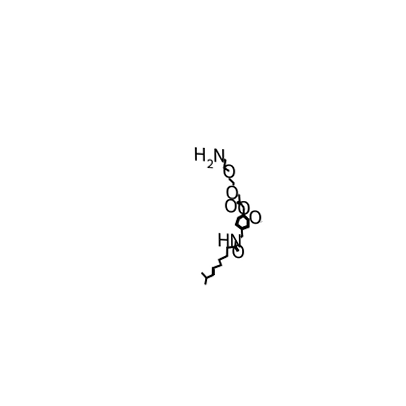 COc1cc(CNC(=O)CCCC/C=C/C(C)C)ccc1OC(=O)COCCOCCN